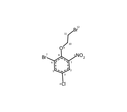 O=[N+]([O-])c1cc(Cl)cc(Br)c1OCCBr